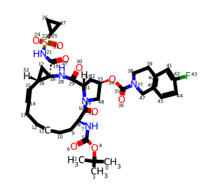 CC(C)(C)OC(=O)N[C@H]1CCCCC/C=C\[C@@H]2C[C@@]2(C(=O)NS(=O)(=O)C2CC2)NC(=O)[C@@H]2C[C@@H](OC(=O)N3CCc4cc(F)ccc4C3)CN2C1=O